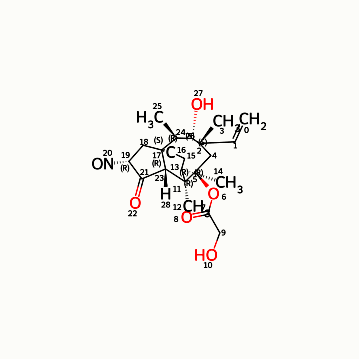 C=C[C@]1(C)C[C@@H](OC(=O)CO)[C@]2(C)[C@H](C)CC[C@]3(C[C@@H](N=O)C(=O)[C@H]32)[C@@H](C)[C@@H]1O